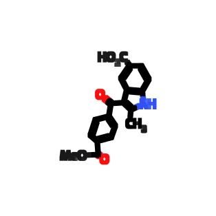 COC(=O)c1ccc(C(=O)c2c(C)[nH]c3ccc(C(=O)O)cc23)cc1